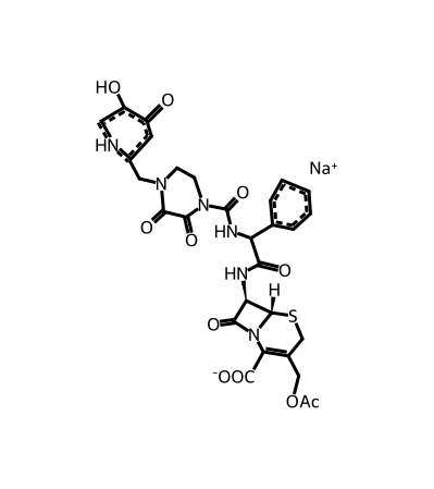 CC(=O)OCC1=C(C(=O)[O-])N2C(=O)[C@@H](NC(=O)C(NC(=O)N3CCN(Cc4cc(=O)c(O)c[nH]4)C(=O)C3=O)c3ccccc3)[C@@H]2SC1.[Na+]